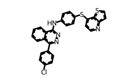 Clc1ccc(-c2nnc(Nc3ccc(Sc4ccnc5ccsc45)cc3)c3ccccc23)cc1